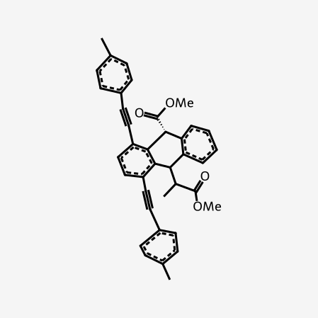 COC(=O)C(C)C1c2ccccc2[C@@H](C(=O)OC)c2c(C#Cc3ccc(C)cc3)ccc(C#Cc3ccc(C)cc3)c21